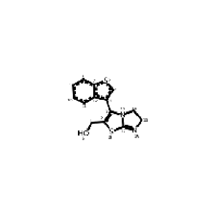 OCC1=C(c2csc3ccccc23)N2CCN=C2S1